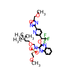 COCCS(=O)(=O)N(COCC[Si](C)(C)C)c1nc2ccccc2nc1OC(c1ccc(-c2noc(COC)n2)nc1)C(F)(F)F